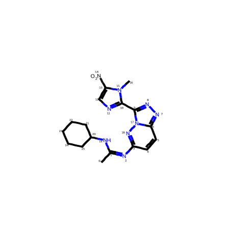 CC(=Nc1ccc2nnc(-c3ncc([N+](=O)[O-])n3C)n2n1)NC1CCCCC1